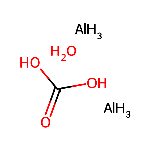 O.O=C(O)O.[AlH3].[AlH3]